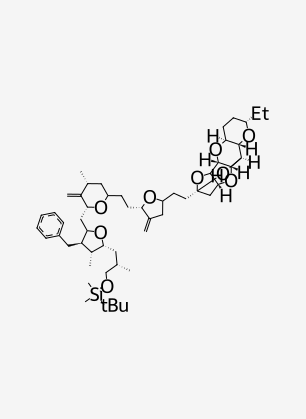 C=C1CC(CC[C@@]23C[C@H]4O[C@H]5[C@@H](O2)[C@H]2O[C@@H](CC)CC[C@@H]2O[C@H]5[C@H]4O3)O[C@H]1CCC1C[C@@H](C)C(=C)[C@@H](CC2O[C@H](C[C@H](C)CO[Si](C)(C)C(C)(C)C)[C@H](C)[C@H]2Cc2ccccc2)O1